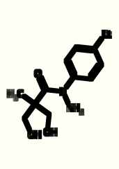 CCc1ccc(N(N)C(=O)C(C)(CO)CO)cc1